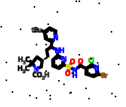 CC(C)(C)c1ccnc(C(CC[C@@H]2CN(C(=O)O)C(C)(C)C2)Nc2cccc(S(=O)(=O)NC(=O)c3ccc(Br)nc3Cl)n2)c1